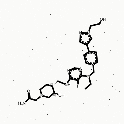 CCN(Cc1ccc(-c2cnn(CCO)c2)cc1)c1ncnc(NC[C@H]2CCN(CC(N)=O)C[C@@H]2O)c1F